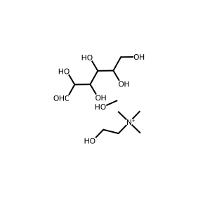 CO.C[N+](C)(C)CCO.O=CC(O)C(O)C(O)C(O)CO